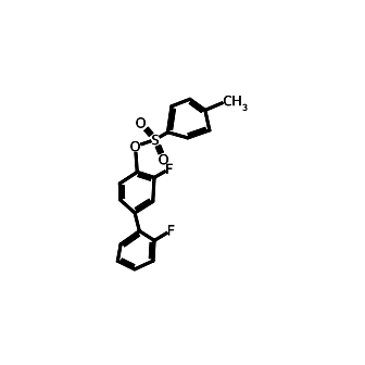 Cc1ccc(S(=O)(=O)Oc2ccc(-c3ccccc3F)cc2F)cc1